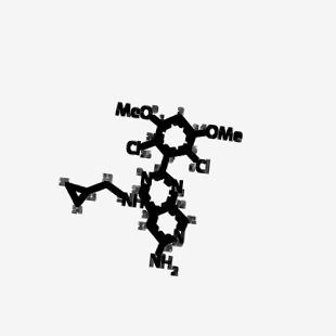 COc1cc(OC)c(Cl)c(-c2nc(NCC3CC3)c3cc(N)ncc3n2)c1Cl